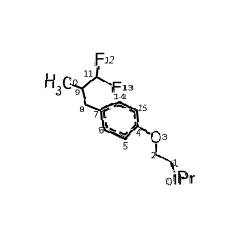 CC(C)CCOc1ccc(CC(C)C(F)F)cc1